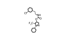 O=C(NCCc1cccc(Cl)c1)Oc1cnn(-c2ccccc2)c1C(F)(F)F